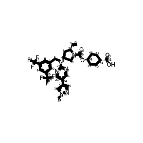 C=C[C@@H]1C[C@H](N(Cc2cc(C(F)(F)F)cc(C(F)(F)F)c2)c2ncc(-c3cnn(C)c3)cn2)CN1C(=O)O[C@H]1CC[C@@H](C(=O)O)CC1